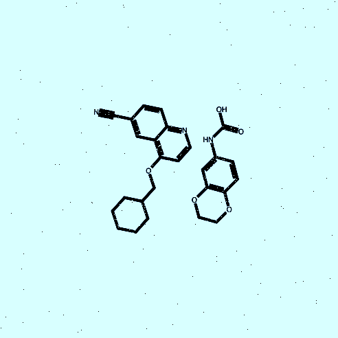 N#Cc1ccc2nccc(OCC3CCCCC3)c2c1.O=C(O)Nc1ccc2c(c1)OCCO2